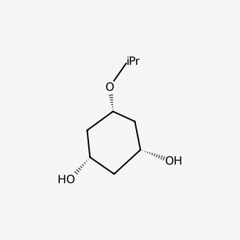 CC(C)O[C@@H]1C[C@H](O)C[C@H](O)C1